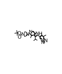 Cc1c(-c2[nH]c3cnc(N4CCN(C(=O)OC(C)(C)C)CC4)c(C)c3c2C(C)C)cn2ncnc2c1C